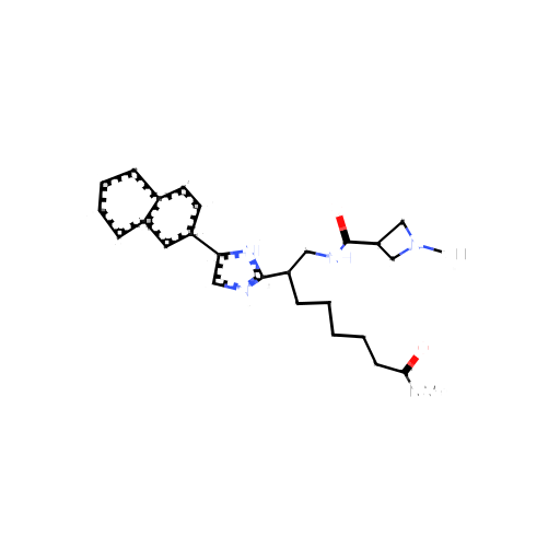 CNC(=O)CCCCCC(CNC(=O)C1CN(C)C1)c1ncc(-c2ccc3ccccc3c2)[nH]1